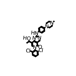 CC(O)c1cn(-c2c(Cl)cccc2Cl)c(=O)c2cnc(Nc3ccc(N4CCN(C)CC4)cc3)nc12